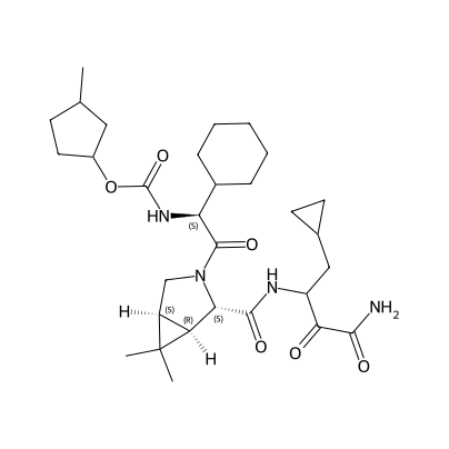 CC1CCC(OC(=O)N[C@H](C(=O)N2C[C@H]3[C@@H]([C@H]2C(=O)NC(CC2CC2)C(=O)C(N)=O)C3(C)C)C2CCCCC2)C1